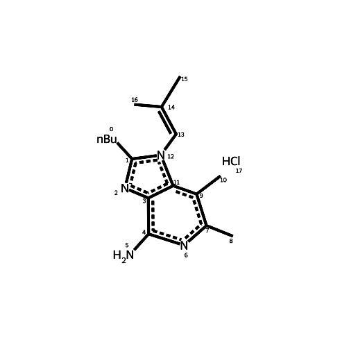 CCCCc1nc2c(N)nc(C)c(C)c2n1C=C(C)C.Cl